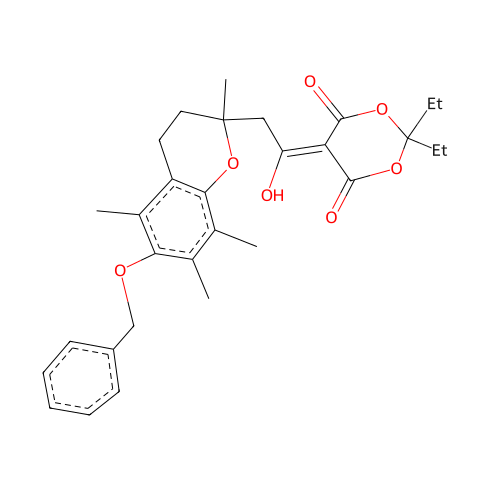 CCC1(CC)OC(=O)C(=C(O)CC2(C)CCc3c(C)c(OCc4ccccc4)c(C)c(C)c3O2)C(=O)O1